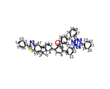 CC1(C)c2cc(-c3ccc(-c4cccc(-c5nc(-c6ccccc6)nc(-c6ccccc6)n5)c4)c4c3oc3ccccc34)ccc2-c2cc3nc(-c4ccccc4)sc3cc21